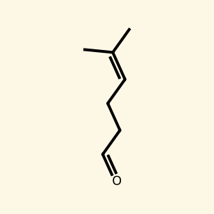 CC(C)=CCCC=O